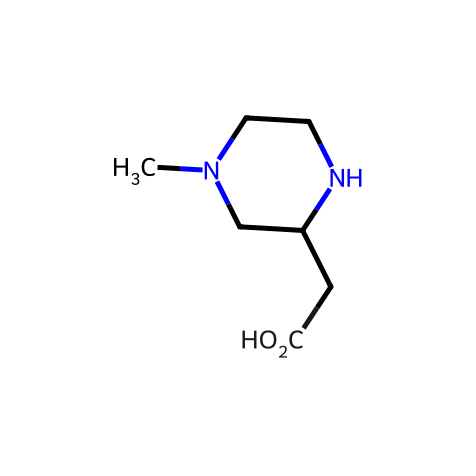 CN1CCNC(CC(=O)O)C1